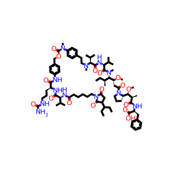 CCC(CC)C1CC(=O)N(CCCCCC(=O)N[C@H](C(=O)N[C@@H](CCCNC(N)=O)C(=O)Nc2ccc(COC(=O)N(C)c3ccc(CCN(C)[C@H](C(=O)N[C@H](C(=O)N(C)[C@@H]([C@@H](C)CC)[C@@H](CC(=O)N4CCC[C@H]4[C@H](OC)[C@@H](C)C(=O)N[C@@H](Cc4ccccc4)C(=O)O)OC)C(C)C)C(C)C)cc3)cc2)C(C)C)C1=O